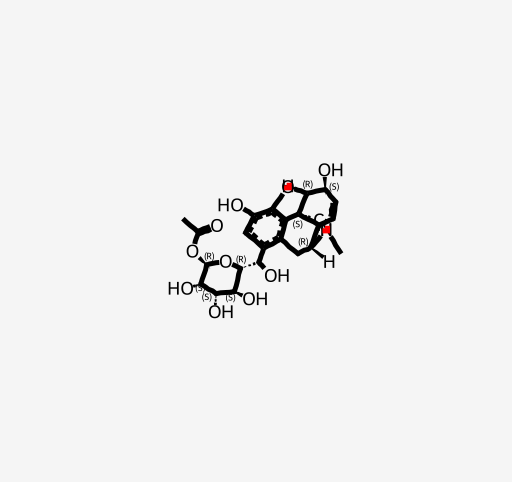 CC(=O)O[C@H]1O[C@H](C(O)c2cc(O)c3c4c2C[C@@H]2[C@@H]5C=C[C@H](O)[C@H](O3)[C@]45CCN2C)[C@@H](O)[C@H](O)[C@@H]1O